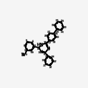 Brc1cccc(C2N=C(c3ccccc3)N=C(c3ccc(-c4ccccc4)cc3)N2)c1